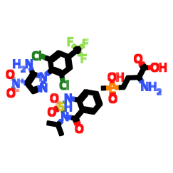 CC(C)N1C(=O)c2ccccc2NS1(=O)=O.CP(=O)(O)CCC(N)C(=O)O.Nc1c([N+](=O)[O-])cnn1-c1c(Cl)cc(C(F)(F)F)cc1Cl